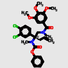 C=CC[C@@](CN(C)C(=O)c1cc(OC)c(OC)c(OC)c1)(c1ccc(Cl)c(Cl)c1)N(C)C(=O)Oc1ccccc1